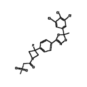 CC1(c2cc(Cl)c(Cl)c(Cl)c2)ON=C(c2ccc(C3(F)CN(C(=O)CS(C)(=O)=O)C3)cc2)O1